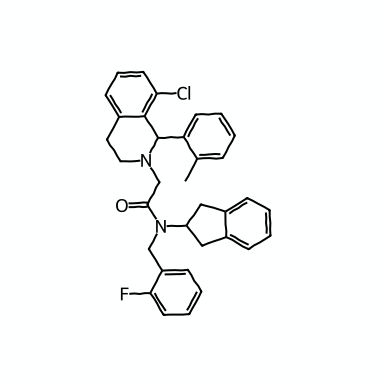 Cc1ccccc1C1c2c(Cl)cccc2CCN1CC(=O)N(Cc1ccccc1F)C1Cc2ccccc2C1